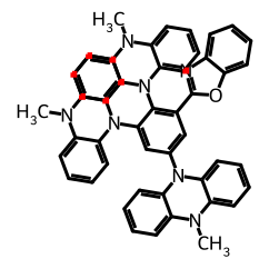 CN1c2ccccc2N(c2cc(-c3nc4ccccc4o3)c(N3c4ccccc4N(C)c4ccccc43)c(N3c4ccccc4N(C)c4ccccc43)c2)c2ccccc21